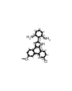 COc1ccc2c(c1)c1nc(Cl)ccc1c1[nH]c(-c3c(N)cccc3N)nc21